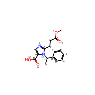 COC(=O)CCc1ncc(C(=O)O)n1C(C)c1ccccc1